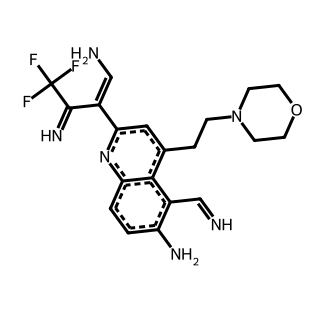 N=Cc1c(N)ccc2nc(/C(=C/N)C(=N)C(F)(F)F)cc(CCN3CCOCC3)c12